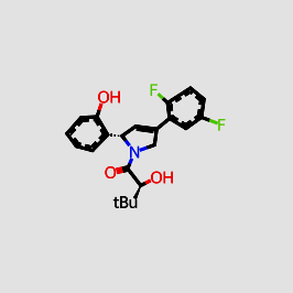 CC(C)(C)[C@H](O)C(=O)N1CC(c2cc(F)ccc2F)=C[C@H]1c1ccccc1O